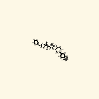 O=C(NC1CCN(Cc2ccccc2)CC1)c1ccc(OC2CCN(c3ccc(C(F)(F)F)cc3)CC2)cn1